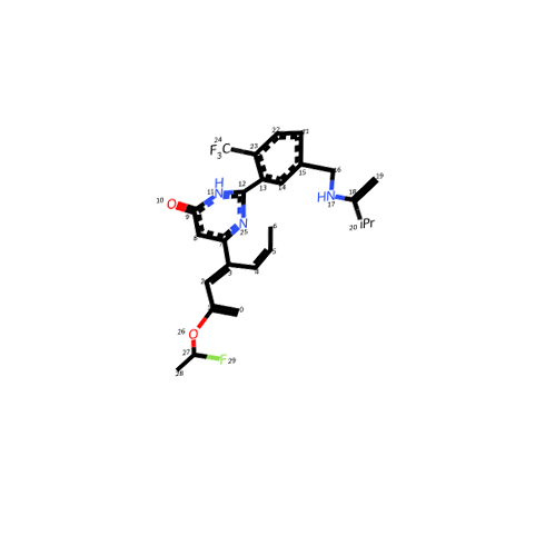 C=C(/C=C(\C=C/C)c1cc(=O)[nH]c(-c2cc(CNC(=C)C(C)C)ccc2C(F)(F)F)n1)OC(C)F